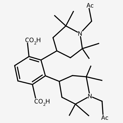 CC(=O)CN1C(C)(C)CC(c2c(C(=O)O)ccc(C(=O)O)c2C2CC(C)(C)N(CC(C)=O)C(C)(C)C2)CC1(C)C